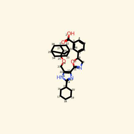 O=C(O)c1cccc(C2CN=C(c3nc(C4CCCCC4)[nH]c3COC34CC5CC(CC(C5)C3)C4)O2)c1